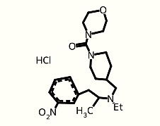 CCN(CC1CCN(C(=O)N2CCOCC2)CC1)C(C)Cc1cccc([N+](=O)[O-])c1.Cl